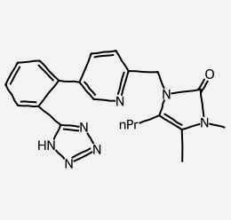 CCCc1c(C)n(C)c(=O)n1Cc1ccc(-c2ccccc2-c2nnn[nH]2)cn1